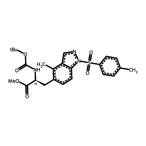 COC(=O)[C@H](Cc1ccc2c(cnn2S(=O)(=O)c2ccc(C)cc2)c1C)NC(=O)OC(C)(C)C